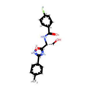 O=C(N[C@H](CO)c1nc(-c2ccc(C(F)(F)F)cc2)no1)c1ccc(F)cc1